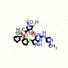 C[C@H](O[Si](c1ccccc1)(c1ccccc1)C(C)(C)C)[C@@]1(C(C)(C)C)CN(C(=O)O)C[C@@H]1COc1nc(Nc2cnn(C)c2)nc2[nH]cc(Cl)c12